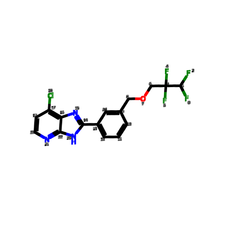 FC(F)C(F)(F)COCc1cccc(-c2nc3c(Cl)ccnc3[nH]2)c1